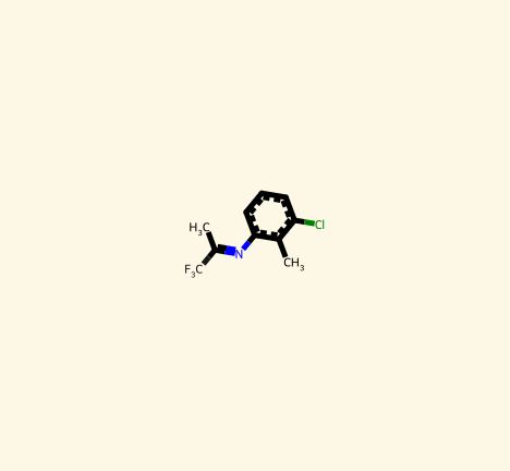 C/C(=N\c1cccc(Cl)c1C)C(F)(F)F